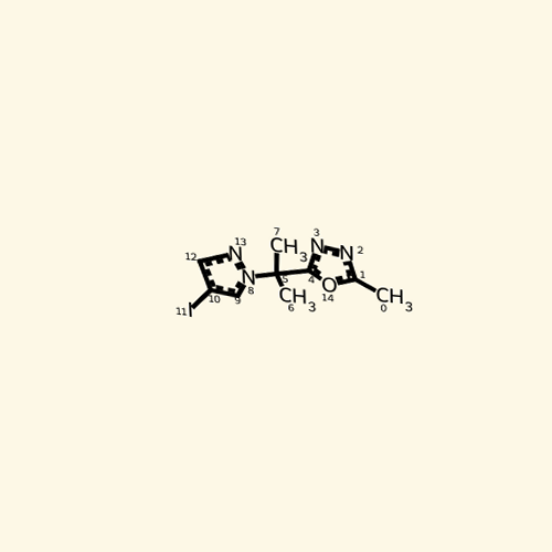 Cc1nnc(C(C)(C)n2cc(I)cn2)o1